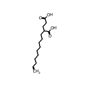 C=CCCCCCCCCC(CCC(=O)O)C(=O)O